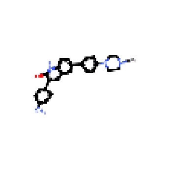 CC(C)N1CCN(c2ccc(-c3ccc4[nH]c(=O)c(-c5ccc(N)cc5)cc4c3)cc2)CC1